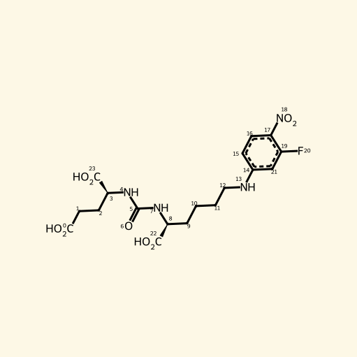 O=C(O)CC[C@H](NC(=O)N[C@@H](CCCCNc1ccc([N+](=O)[O-])c(F)c1)C(=O)O)C(=O)O